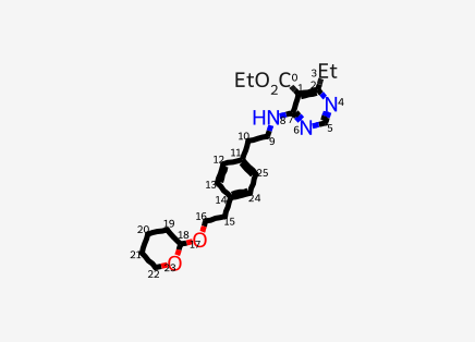 CCOC(=O)c1c(CC)ncnc1NCCc1ccc(CCOC2CCCCO2)cc1